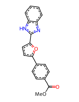 COC(=O)c1ccc(-c2ccc(-c3nc4ccccc4[nH]3)o2)cc1